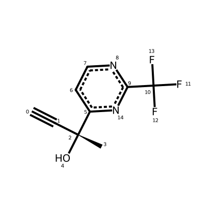 C#C[C@@](C)(O)c1ccnc(C(F)(F)F)n1